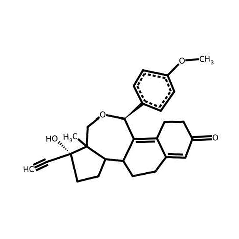 C#C[C@]1(O)CCC2C3CCC4=CC(=O)CCC4=C3[C@H](c3ccc(OC)cc3)OCC21C